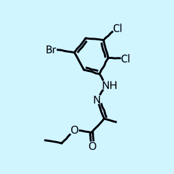 CCOC(=O)/C(C)=N/Nc1cc(Br)cc(Cl)c1Cl